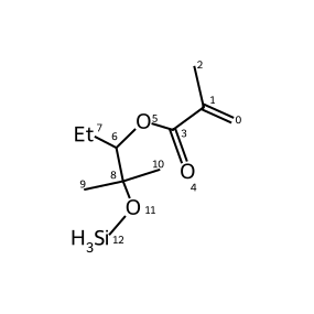 C=C(C)C(=O)OC(CC)C(C)(C)O[SiH3]